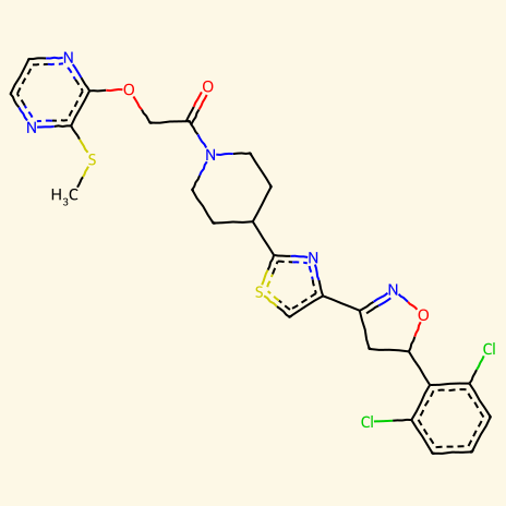 CSc1nccnc1OCC(=O)N1CCC(c2nc(C3=NOC(c4c(Cl)cccc4Cl)C3)cs2)CC1